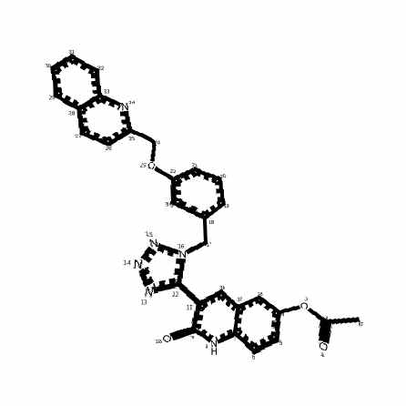 CC(=O)Oc1ccc2[nH]c(=O)c(-c3nnnn3Cc3cccc(OCc4ccc5ccccc5n4)c3)cc2c1